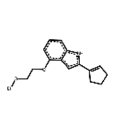 CCOCCOc1cccc2[nH]c(C3=CCCC3)cc12